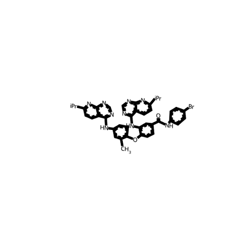 Cc1cc(Nc2ncnc3nc(C(C)C)ccc23)ccc1Oc1ccc(C(=O)Nc2ccc(Br)cc2)cc1Nc1ncnc2nc(C(C)C)ccc12